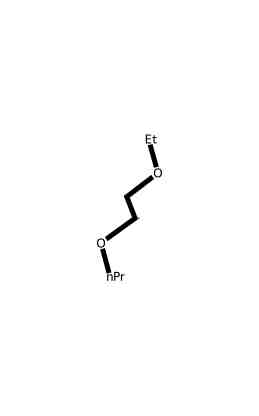 CCCO[CH]COCC